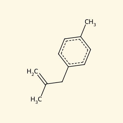 C=C(C)Cc1ccc(C)cc1